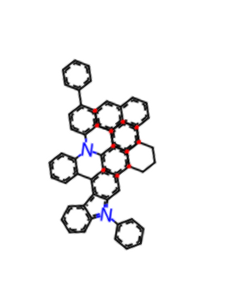 c1ccc(-c2ccc(N(c3ccccc3-c3cccc4cccc(C5CCCCC5)c34)c3ccccc3-c3cccc4c3c3ccccc3n4-c3ccccc3)c(-c3ccccc3)c2)cc1